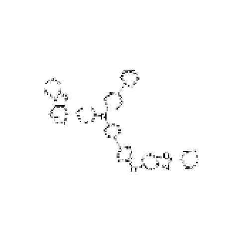 c1ccc(-c2ccc(N(c3ccc(-c4ccc5oc6cc7nc(-c8ccccc8)oc7cc6c5c4)cc3)c3ccc(-c4cccc5c4sc4ccccc45)cc3)cc2)cc1